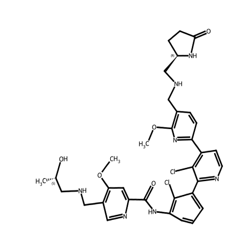 COc1cc(C(=O)Nc2cccc(-c3nccc(-c4ccc(CNC[C@H]5CCC(=O)N5)c(OC)n4)c3Cl)c2Cl)ncc1CNC[C@H](C)O